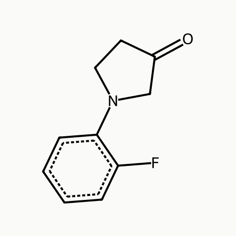 O=C1CCN(c2ccccc2F)C1